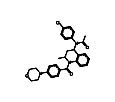 CC(=O)N(c1ccc(Cl)cc1)C1CC(C)N(C(=O)c2ccc(N3CCOCC3)cc2)c2ccccc21